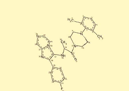 Cc1cccc(C)c1N1CCN(C(=O)C(C)Nc2c(-c3ccc(F)cc3)nc3cnccn23)CC1